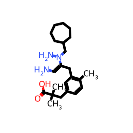 Cc1ccc(CC(C)(C)C(=O)O)cc1C/C(=C/N)N(N)CC1CCCCCC1